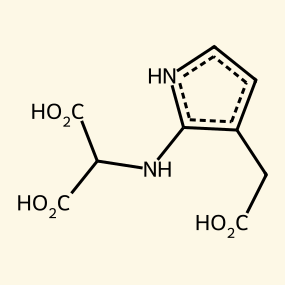 O=C(O)Cc1cc[nH]c1NC(C(=O)O)C(=O)O